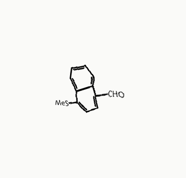 CSc1ccc(C=O)c2ccccc12